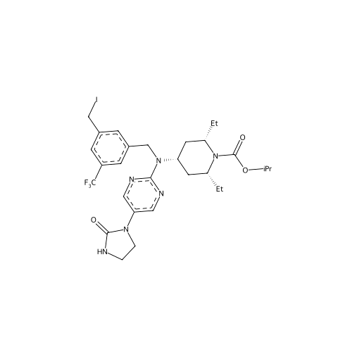 CC[C@@H]1C[C@H](N(Cc2cc(CI)cc(C(F)(F)F)c2)c2ncc(N3CCNC3=O)cn2)C[C@H](CC)N1C(=O)OC(C)C